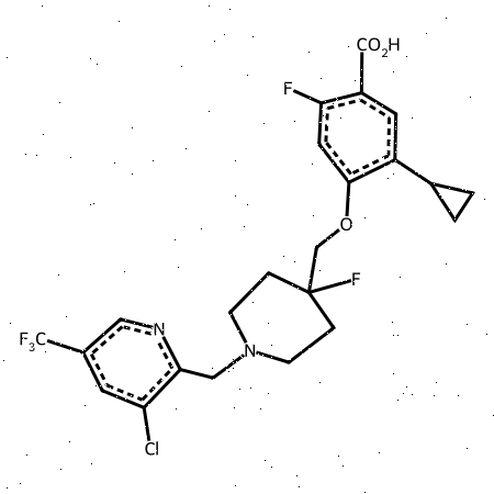 O=C(O)c1cc(C2CC2)c(OCC2(F)CCN(Cc3ncc(C(F)(F)F)cc3Cl)CC2)cc1F